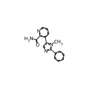 Cn1c(-c2cccnc2C(N)=O)cnc1-c1ccccc1